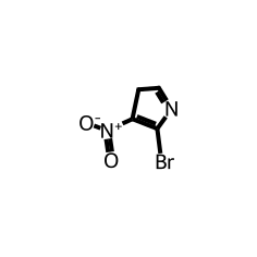 O=[N+]([O-])C1=C(Br)N=CC1